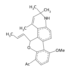 CC=CC1Oc2c(C(C)=O)ccc(OC)c2-c2ccc3c(c21)C(C)=CC(C)(C)N3